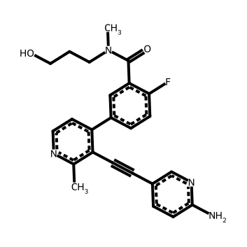 Cc1nccc(-c2ccc(F)c(C(=O)N(C)CCCO)c2)c1C#Cc1ccc(N)nc1